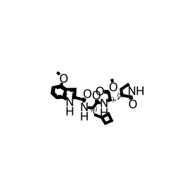 COC(=O)[C@H](C[C@@H]1CCNC1=O)NC(=O)[C@H](CC1CCC1)NC(=O)c1cc2c(OC)cccc2[nH]1